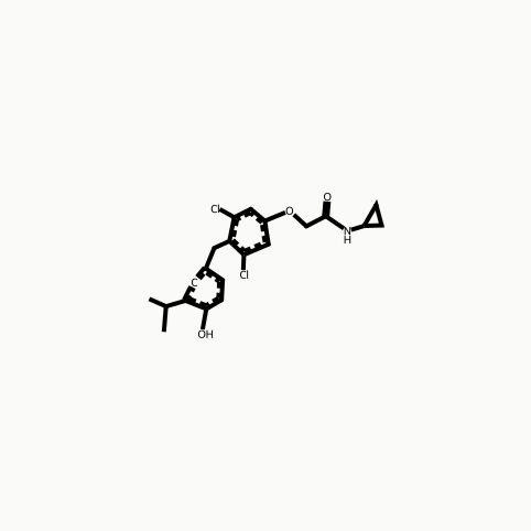 CC(C)c1cc(Cc2c(Cl)cc(OCC(=O)NC3CC3)cc2Cl)ccc1O